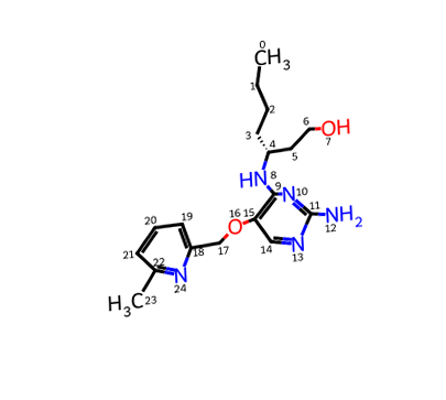 CCCC[C@H](CCO)Nc1nc(N)ncc1OCc1cccc(C)n1